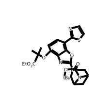 CCOC(=O)C(C)(C)Oc1ccc(-c2nccs2)c2oc(N3CC4CC(C3)N4C(=O)OC(C)(C)C)nc12